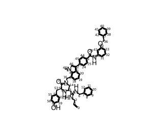 C=CCNN(NCc1ccccc1)[C@H]1CN(Cc2cccc3c(-c4ccc(C(=O)Nc5cccc(OCc6ccccc6)c5)cc4)cn(C)c23)C(=O)[C@H](Cc2ccc(O)cc2)N1